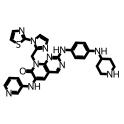 O=c1c(Nc2cccnc2)cc2cnc(Nc3ccc(NC4CCNCC4)cc3)nc2n1Cc1nccn1-c1nccs1